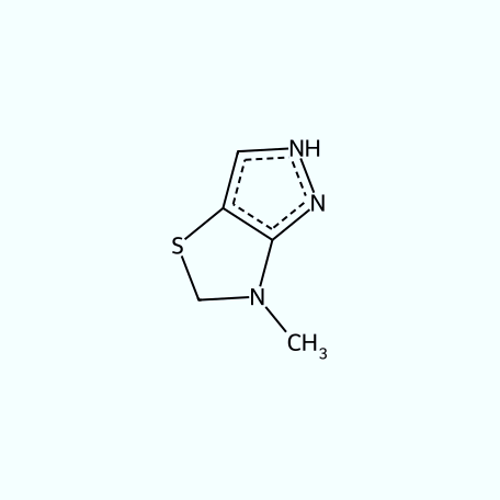 CN1CSc2c[nH]nc21